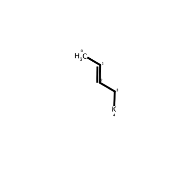 CC=C[CH2][K]